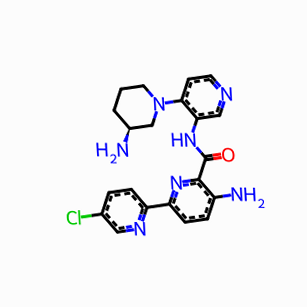 Nc1ccc(-c2ccc(Cl)cn2)nc1C(=O)Nc1cnccc1N1CCC[C@H](N)C1